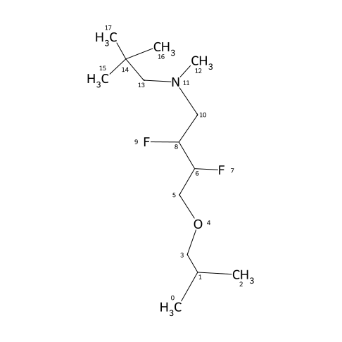 CC(C)COCC(F)C(F)CN(C)CC(C)(C)C